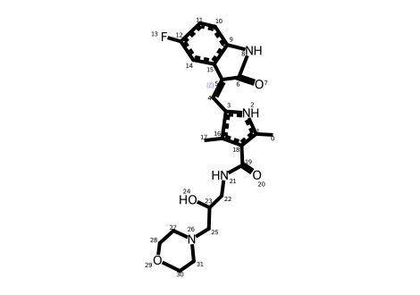 Cc1[nH]c(/C=C2\C(=O)Nc3ccc(F)cc32)c(C)c1C(=O)NCC(O)CN1CCOCC1